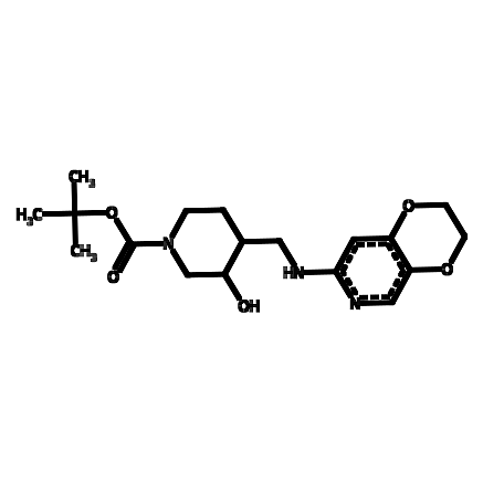 CC(C)(C)OC(=O)N1CCC(CNc2cc3c(cn2)OCCO3)C(O)C1